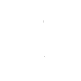 O=Cc1cccn1Cc1ccc(CN2CCCC2)cc1